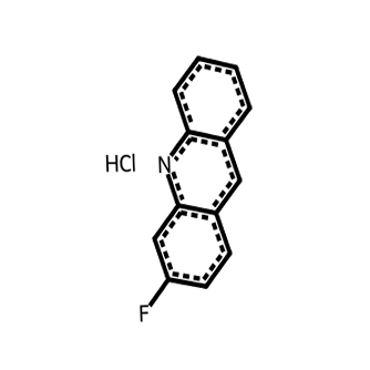 Cl.Fc1ccc2cc3ccccc3nc2c1